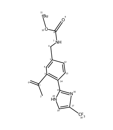 C=C(C)c1cc(CNC(=O)OC(C)(C)C)ccc1-c1nc(C(F)(F)F)c[nH]1